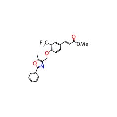 COC(=O)/C=C/c1ccc(OCc2nc(-c3ccccc3)oc2C)c(C(F)(F)F)c1